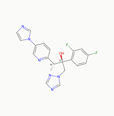 C[C@H](c1ccc(-n2ccnc2)cn1)[C@@](O)(Cn1cncn1)c1ccc(F)cc1F